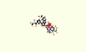 CCN(CCCOc1ccc(-c2cccc(C(=O)NC3CC3)c2)c2c1[nH]c1ncc(C)cc12)C(C(OP(=O)(O)O)C(C)(C)C)C(C)(C)C